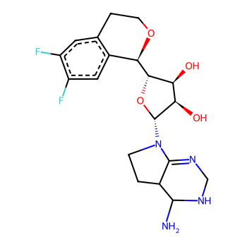 NC1NCN=C2C1CCN2[C@@H]1O[C@H]([C@@H]2OCCc3cc(F)c(F)cc32)[C@@H](O)[C@H]1O